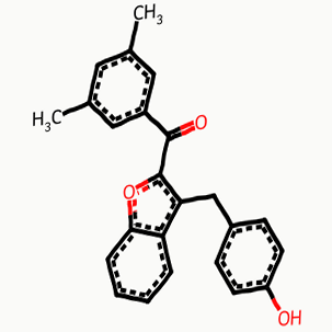 Cc1cc(C)cc(C(=O)c2oc3ccccc3c2Cc2ccc(O)cc2)c1